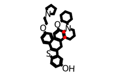 Oc1ccc2sc(-c3ccc(OCCN4CCCC4)cc3)c(Cc3ccc(OC4CCCCC4N4CCCCC4)cc3)c2c1